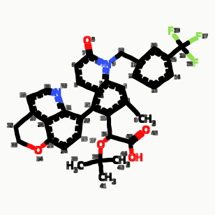 Cc1cc2c(ccc(=O)n2Cc2cccc(C(F)(F)F)c2)c(-c2ccc3c4c(ccnc24)CCO3)c1C(OC(C)(C)C)C(=O)O